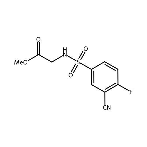 COC(=O)CNS(=O)(=O)c1ccc(F)c(C#N)c1